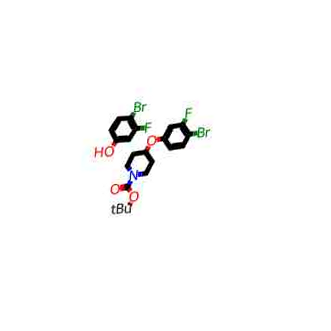 CC(C)(C)OC(=O)N1CCC(Oc2ccc(Br)c(F)c2)CC1.Oc1ccc(Br)c(F)c1